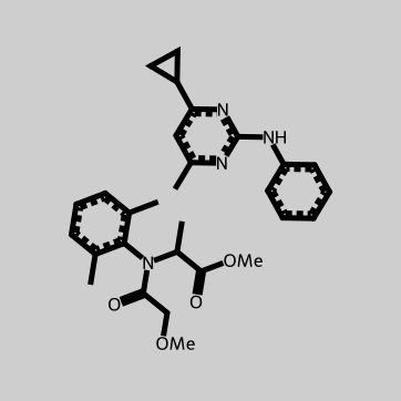 COCC(=O)N(c1c(C)cccc1C)C(C)C(=O)OC.Cc1cc(C2CC2)nc(Nc2ccccc2)n1